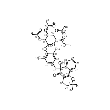 COC(=O)[C@H]1O[C@@H](Oc2c(F)cc(CC3(O)C(=O)C4=C(OC(C)(C)CC4)c4ccccc43)cc2F)[C@H](OC(C)=O)[C@@H](OC(C)=O)[C@@H]1OC(C)=O